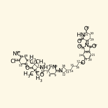 CC1(C)C(NC(=O)c2ccc(N3CC(CCCCOc4ccc5c(c4)C(=O)N(C4CCC(=O)NC4=O)C5=O)C3)nc2)C(C)(C)C1Oc1ccc(C#N)c(Cl)c1